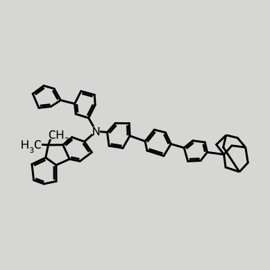 CC1(C)c2ccccc2-c2ccc(N(c3ccc(-c4ccc(-c5ccc(C67CC8CC(CC(C8)C6)C7)cc5)cc4)cc3)c3cccc(-c4ccccc4)c3)cc21